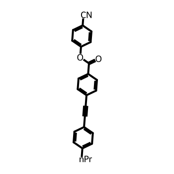 CCCc1ccc(C#Cc2ccc(C(=O)Oc3ccc(C#N)cc3)cc2)cc1